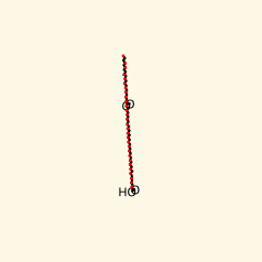 CCCCCCCCC=CCCCCCCCCCCCC(=O)OCCCCCCCCCCCCCCCCCCCCCCCCCCCCCCCCCCCCC(=O)O